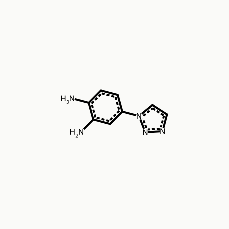 Nc1ccc(-n2ccnn2)cc1N